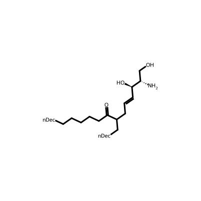 CCCCCCCCCCCCCCCC(=O)C(C/C=C/[C@@H](O)[C@@H](N)CO)CCCCCCCCCCC